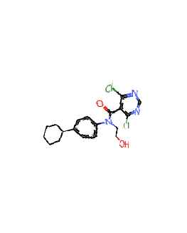 O=C(c1c(Cl)ncnc1Cl)N(CCO)c1ccc(C2CCCCC2)cc1